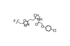 C=C(CCc1nnc(CC(F)(F)F)o1)NC(=O)COc1ccc(Cl)cc1